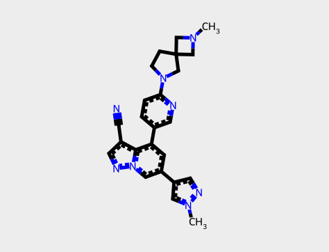 CN1CC2(CCN(c3ccc(-c4cc(-c5cnn(C)c5)cn5ncc(C#N)c45)cn3)C2)C1